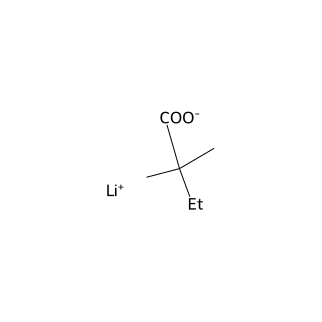 CCC(C)(C)C(=O)[O-].[Li+]